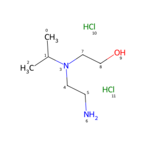 CC(C)N(CCN)CCO.Cl.Cl